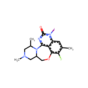 Cc1cc2c3c(nc(=O)n2I)N2C(C)CN(C)CC2COc3c1F